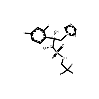 C[C@H]([C@](O)(Cn1cncn1)c1ccc(F)cc1F)S(=O)(=O)NCC(F)(F)F